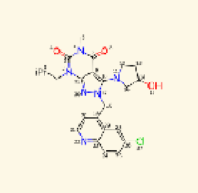 CC(C)Cn1c(=O)n(C)c(=O)c2c(N3CCC(O)C3)n(Cc3ccnc4ccc(Cl)cc34)nc21